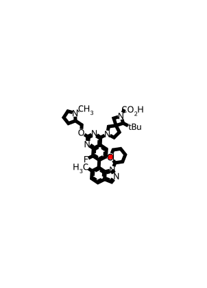 Cc1ccc2cnn(C3CCCCO3)c2c1-c1c(Cl)cc2c(N3CCC4(C3)CN(C(=O)O)C4C(C)(C)C)nc(OCC3CCCN3C)nc2c1F